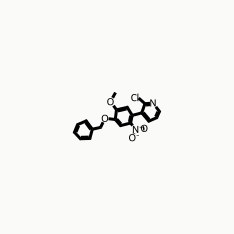 COc1cc(-c2cccnc2Cl)c([N+](=O)[O-])cc1OCc1ccccc1